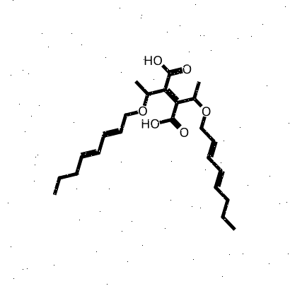 CCCC=CC=CCOC(C)C(C(=O)O)=C(C(=O)O)C(C)OCC=CC=CCCC